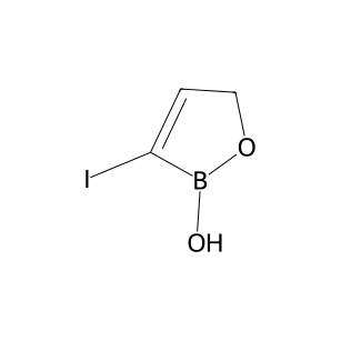 OB1OCC=C1I